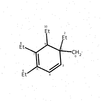 [CH2]C1(CC)C=CC(CC)=C(CC)C1CC